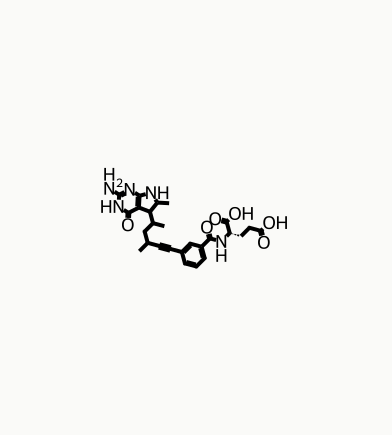 CC(C#Cc1cccc(C(=O)N[C@@H](CCC(=O)O)C(=O)O)c1)CC(C)C1c2c(nc(N)[nH]c2=O)NC1C